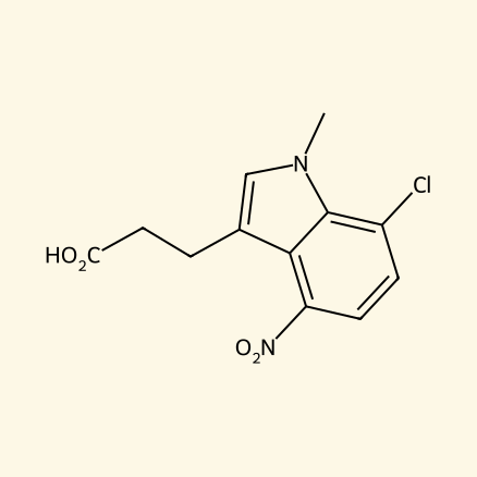 Cn1cc(CCC(=O)O)c2c([N+](=O)[O-])ccc(Cl)c21